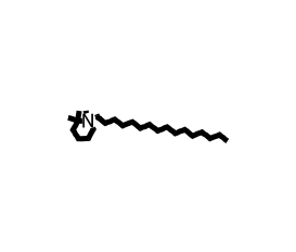 CCCCCCCCCCCCCCCC[N+]1(C)CCCCC1(C)C